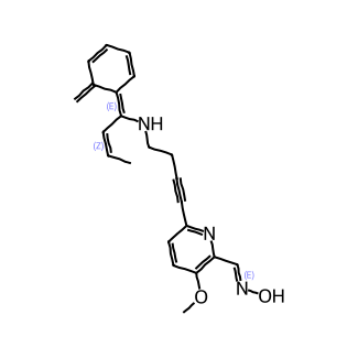 C=c1cccc/c1=C(/C=C\C)NCCC#Cc1ccc(OC)c(/C=N/O)n1